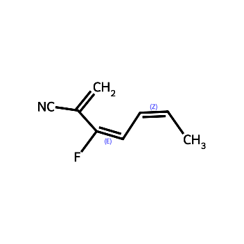 C=C(C#N)/C(F)=C\C=C/C